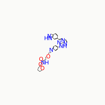 CN(CCOCCC(=O)NOC1CCCCO1)c1ccc(Nc2nc(-c3ccc4cn[nH]c4c3)cn3ccnc23)cc1